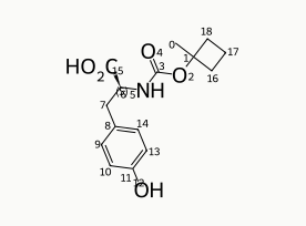 CC1(OC(=O)N[C@@H](Cc2ccc(O)cc2)C(=O)O)CCC1